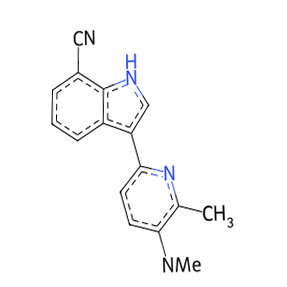 CNc1ccc(-c2c[nH]c3c(C#N)cccc23)nc1C